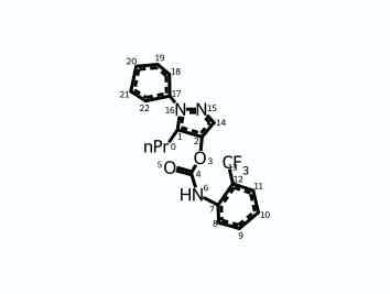 CCCc1c(OC(=O)Nc2ccccc2C(F)(F)F)cnn1-c1ccccc1